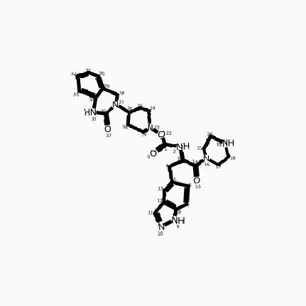 O=C(NC(Cc1ccc2[nH]ncc2c1)C(=O)N1CCNCC1)ON1CCC(N2Cc3ccccc3NC2=O)CC1